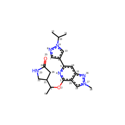 CC(Oc1nc(-c2cnn(C(C)C)c2)cc2nn(C)cc12)C1CNC(=O)C1